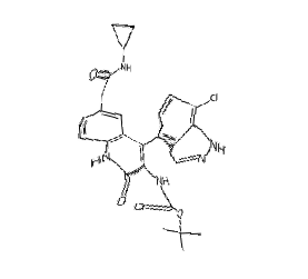 CC(C)(C)OC(=O)Nc1c(-c2ccc(Cl)c3[nH]ncc23)c2cc(C(=O)NC3CC3)ccc2[nH]c1=O